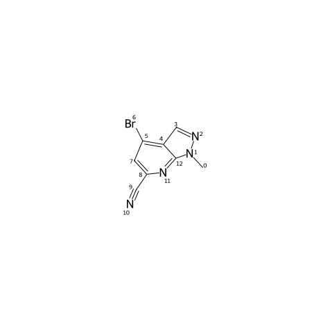 Cn1ncc2c(Br)cc(C#N)nc21